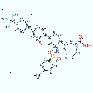 Cc1ccc(S(=O)(=O)n2c3c(c4ccc(-n5ccc(-c6ccc(C(F)(F)F)cn6)cc5=O)cc42)CN(C(=O)O)CCC3)cc1